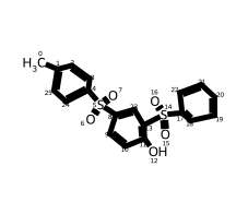 Cc1ccc(S(=O)(=O)c2ccc(O)c(S(=O)(=O)c3ccccc3)c2)cc1